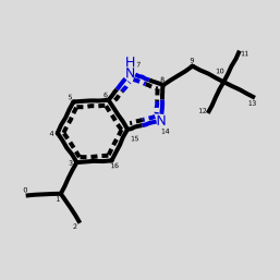 CC(C)c1ccc2[nH]c(CC(C)(C)C)nc2c1